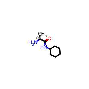 C[C@H](N)C(=O)NC1CCCCC1